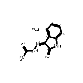 NC(=S)NN=C1C(=O)Nc2ccccc21.[Cu]